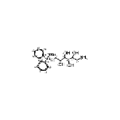 CC(C)(C)[Si](OC[C@@H](O)[C@@H](O)[C@H](O)[C@@H](O)CN)(c1ccccc1)c1ccccc1